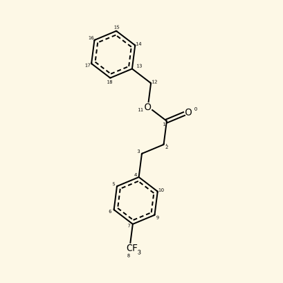 O=C([CH]Cc1ccc(C(F)(F)F)cc1)OCc1ccccc1